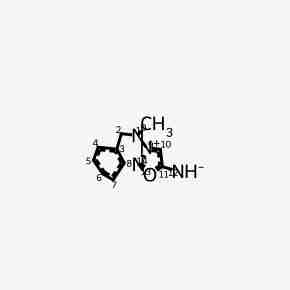 CN(Cc1ccccc1)[n+]1cc([NH-])on1